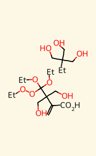 C=C(C(=O)O)C(CO)(CO)C(OCC)(OCC)OOCC.CCC(CO)(CO)CO